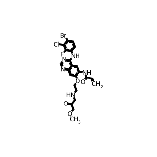 C=CC(=O)Nc1cc2c(Nc3ccc(Br)c(Cl)c3F)ncnc2cc1OCCNCC(=O)COC